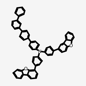 c1ccc(-c2cccc(-c3ccc(-c4ccc(N(c5ccc(-c6ccc7oc8ccccc8c7c6)cc5)c5ccc(-c6cccc7c6oc6ccccc67)cc5)cc4)cc3)c2)cc1